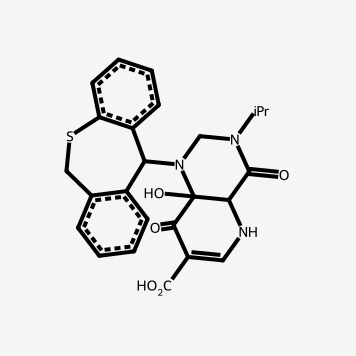 CC(C)N1CN(C2c3ccccc3CSc3ccccc32)C2(O)C(=O)C(C(=O)O)=CNC2C1=O